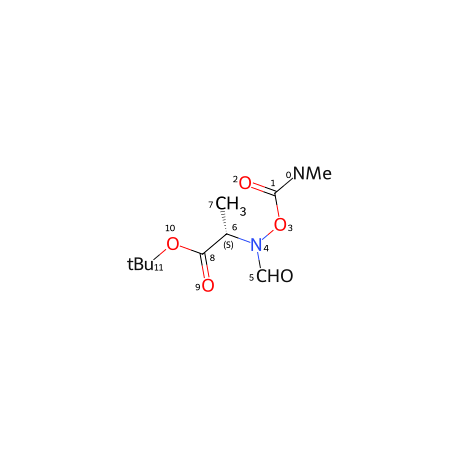 CNC(=O)ON(C=O)[C@@H](C)C(=O)OC(C)(C)C